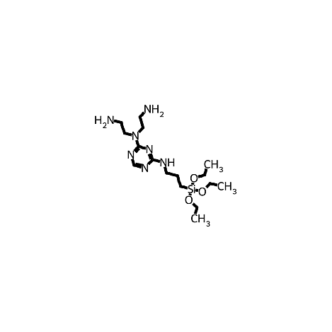 CCO[Si](CCCNc1ncnc(N(CCN)CCN)n1)(OCC)OCC